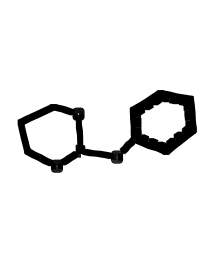 c1ccc(OP2OCCCO2)cc1